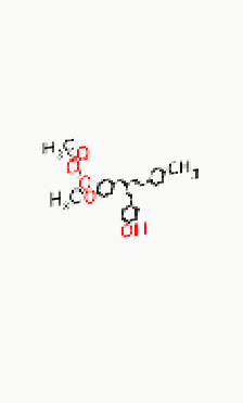 CCC(=O)OCCOC(C)Oc1ccc(C=C(C=Cc2ccc(C)cc2)C=Cc2ccc(O)cc2)cc1